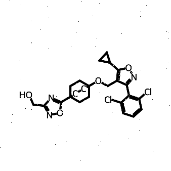 OCc1noc(C23CCC(OCc4c(-c5c(Cl)cccc5Cl)noc4C4CC4)(CC2)CC3)n1